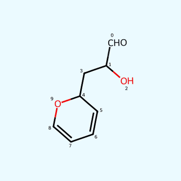 O=CC(O)CC1C=CC=CO1